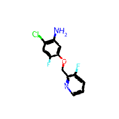 Nc1cc(OCc2ncccc2F)c(F)cc1Cl